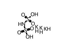 O=S(=O)(O)NS(=O)(=O)O.[KH].[KH].[KH]